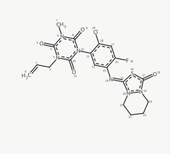 C=CCn1c(=O)n(C)c(=O)n(-c2cc(N=c3sc(=O)n4n3CCCC4)c(F)cc2Cl)c1=O